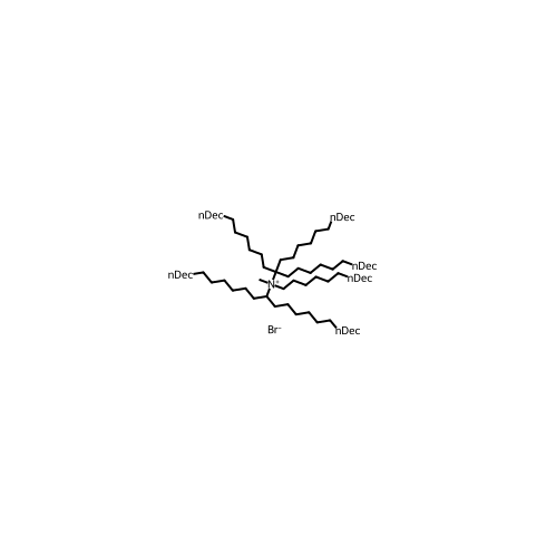 CCCCCCCCCCCCCCCCC(CCCCCCCCCCCCCCCC)[N+](C)(CCCCCCCCCCCCCCCC)C(CCCCCCCCCCCCCCCC)(CCCCCCCCCCCCCCCC)CCCCCCCCCCCCCCCC.[Br-]